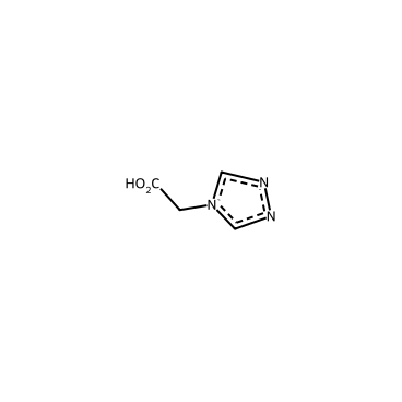 O=C(O)Cn1cnnc1